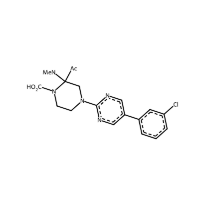 CNC1(C(C)=O)CN(c2ncc(-c3cccc(Cl)c3)cn2)CCN1C(=O)O